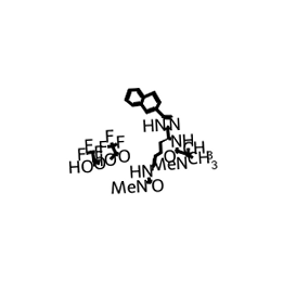 CNC(=O)NCCCC[C@H](NC(=O)C(C)(C)NC)c1ncc(-c2ccc3ccccc3c2)[nH]1.O=C(O)C(F)(F)F.O=C(O)C(F)(F)F